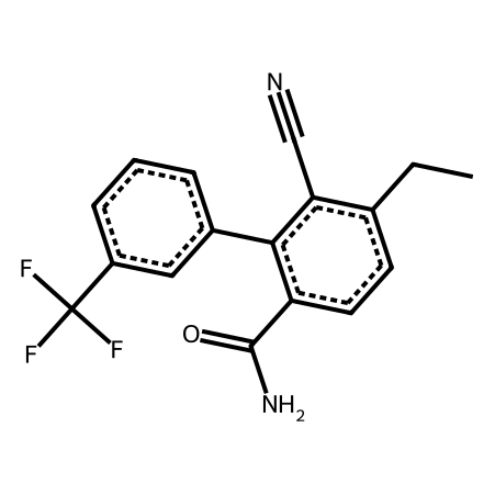 CCc1ccc(C(N)=O)c(-c2cccc(C(F)(F)F)c2)c1C#N